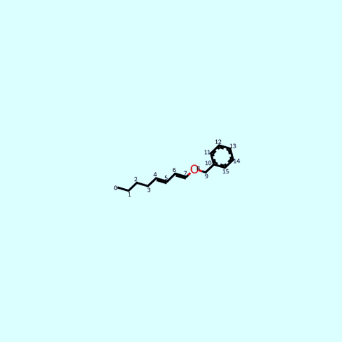 CCCCC=CC=COCc1ccccc1